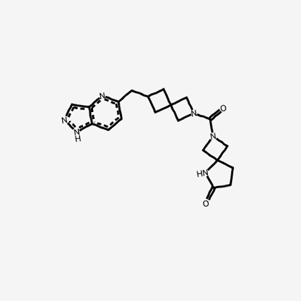 O=C1CCC2(CN(C(=O)N3CC4(CC(Cc5ccc6[nH]ncc6n5)C4)C3)C2)N1